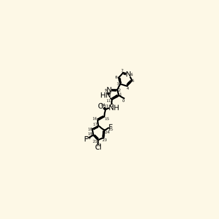 Cc1c(-c2ccncc2)n[nH]c1NC(=O)C=Cc1cc(F)c(Cl)cc1F